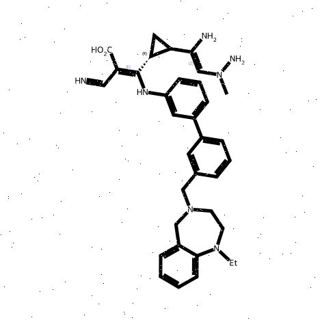 CCN1CCN(Cc2cccc(-c3cccc(N/C(=C(\C=N)C(=O)O)[C@@H]4CC4/C(N)=C/N(C)N)c3)c2)Cc2ccccc21